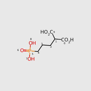 O=C(O)C(CCCP(=O)(O)O)C(=O)O